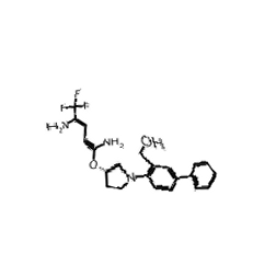 N/C(=C\C=C(/N)O[C@H]1CCN(c2ccc(-c3ccccc3)cc2CO)C1)C(F)(F)F